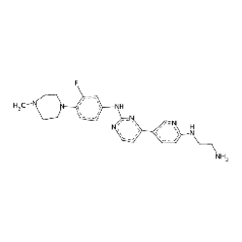 CN1CCN(c2ccc(Nc3nccc(-c4ccc(NCCN)nc4)n3)cc2F)CC1